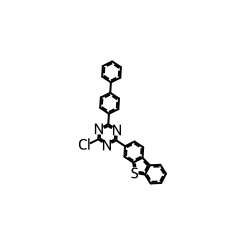 Clc1nc(-c2ccc(-c3ccccc3)cc2)nc(-c2ccc3c(c2)sc2ccccc23)n1